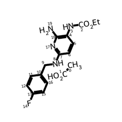 CC(=O)O.CCOC(=O)Nc1ccc(NCc2ccc(F)cc2)nc1N